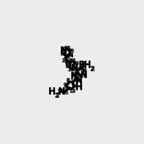 Bc1cnc2[nH]c(-c3ccc(CN)cc3)nc2c1N1CCN(Cc2cccnc2)CC1